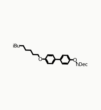 CCCCCCCCCCOc1ccc(-c2ccc(OCCCCCC(C)CC)cc2)cc1